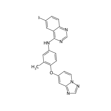 Cc1cc(Nc2ncnc3ccc(I)cc23)ccc1Oc1ccn2ncnc2c1